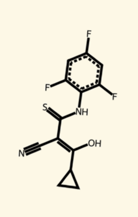 N#CC(C(=S)Nc1c(F)cc(F)cc1F)=C(O)C1CC1